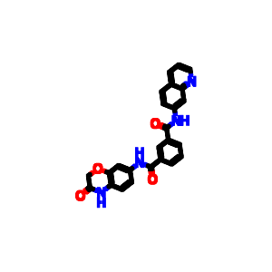 O=C1COc2cc(NC(=O)c3cccc(C(=O)Nc4ccc5cccnc5c4)c3)ccc2N1